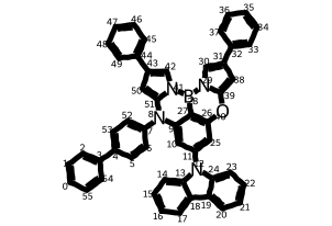 c1ccc(-c2ccc(N3c4cc(-n5c6ccccc6c6ccccc65)cc5c4B(n4cc(-c6ccccc6)cc4O5)n4cc(-c5ccccc5)cc43)cc2)cc1